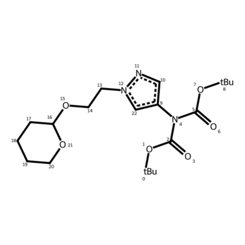 CC(C)(C)OC(=O)N(C(=O)OC(C)(C)C)c1cnn(CCOC2CCCCO2)c1